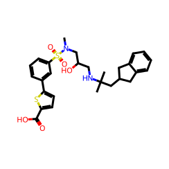 CN(CC(O)CNC(C)(C)CC1Cc2ccccc2C1)S(=O)(=O)c1cccc(-c2ccc(C(=O)O)s2)c1